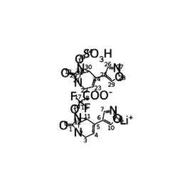 O=C1N2CC=C(c3cnoc3)C(C2)N1OC(F)(F)C(=O)[O-].O=C1N2CC=C(c3cnoc3)C(C2)N1OS(=O)(=O)O.[Li+]